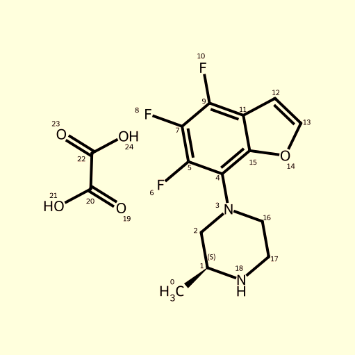 C[C@H]1CN(c2c(F)c(F)c(F)c3ccoc23)CCN1.O=C(O)C(=O)O